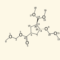 COCOC(=O)C1C[C@@H](OCOC)[C@H](C(OC)OC)C1